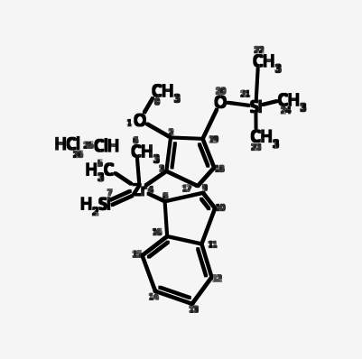 COC1=[C]([Zr]([CH3])([CH3])(=[SiH2])[CH]2C=Cc3ccccc32)CC=C1O[Si](C)(C)C.Cl.Cl